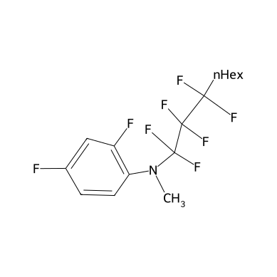 CCCCCCC(F)(F)C(F)(F)C(F)(F)N(C)c1ccc(F)cc1F